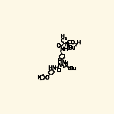 CC(C(=O)NCc1ccc(-n2nc(C(C)(C)C)cc2NC(=O)Nc2ccc(Oc3ccncc3)cc2)cc1)N(C(=O)O)C(C)(C)C